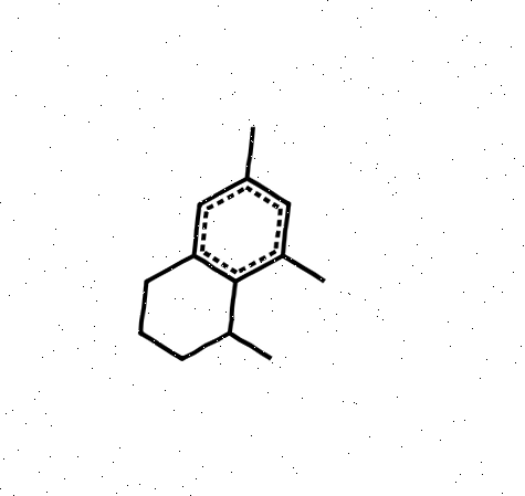 Cc1cc(C)c2c(c1)CCCC2C